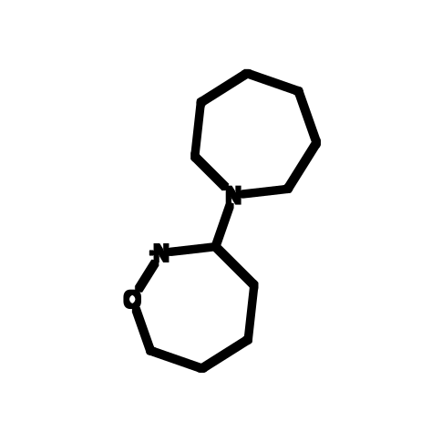 C1CCCN(C2CCCCO[N]2)CC1